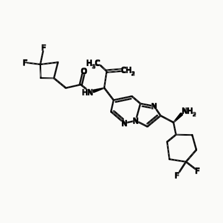 C=C(C)[C@H](NC(=O)CC1CC(F)(F)C1)c1cnn2cc([C@@H](N)C3CCC(F)(F)CC3)nc2c1